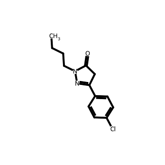 CCCCN1N=C(c2ccc(Cl)cc2)CC1=O